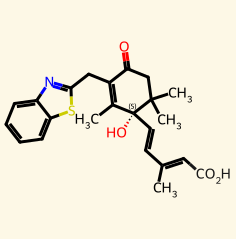 CC(C=C[C@@]1(O)C(C)=C(Cc2nc3ccccc3s2)C(=O)CC1(C)C)=CC(=O)O